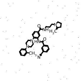 C=C1CCCN1CCCNC(=O)c1ccc(N2CCN(c3ccccc3C)CC2)c(NC(=O)c2cccc(C#N)c2)c1